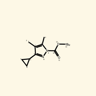 Cc1c(I)c(C2CC2)nn1C(=O)OC(C)(C)C